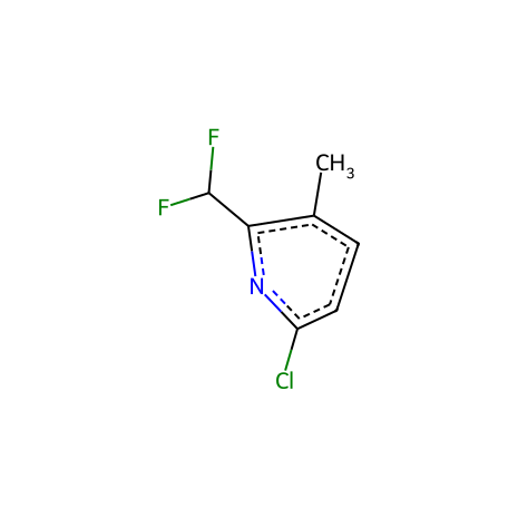 Cc1ccc(Cl)nc1C(F)F